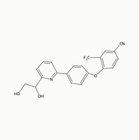 N#Cc1ccc(Oc2ccc(-c3cccc(C(O)CO)n3)cc2)c(C(F)(F)F)c1